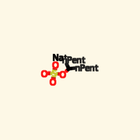 CCCCCC(CCCCC)OS(=O)(=O)[O-].[Na+]